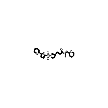 O=C(/C=C/c1ccn(S(=O)(=O)c2ccc(-c3ccccn3)s2)c1)NOC1CCCCO1